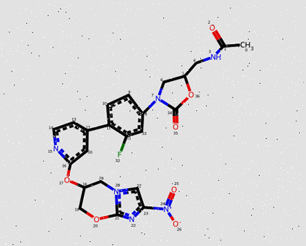 CC(=O)NCC1CN(c2ccc(-c3ccnc(OC4COc5nc([N+](=O)[O-])cn5C4)c3)c(F)c2)C(=O)O1